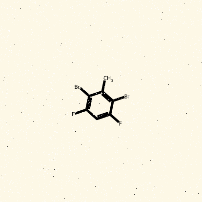 Cc1c(Br)c(F)cc(F)c1Br